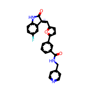 O=C1Nc2ccc(F)cc2/C1=C\c1ccc(-c2cccc(C(=O)NCc3ccncc3)c2)o1